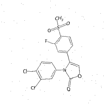 CS(=O)(=O)c1ccc(-c2coc(=O)n2-c2ccc(Cl)c(Cl)c2)cc1F